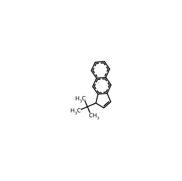 CC(C)(C)[C]1C=Cc2cc3ccccc3cc21